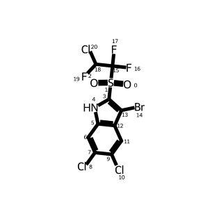 O=S(=O)(c1[nH]c2cc(Cl)c(Cl)cc2c1Br)C(F)(F)C(F)Cl